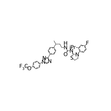 CC(C)c1cc(F)ccc1N1CCS/C1=N\C(=O)NCCC(C)c1ccc(-c2ncn(-c3ccc(OC(F)(F)F)cc3)n2)cc1